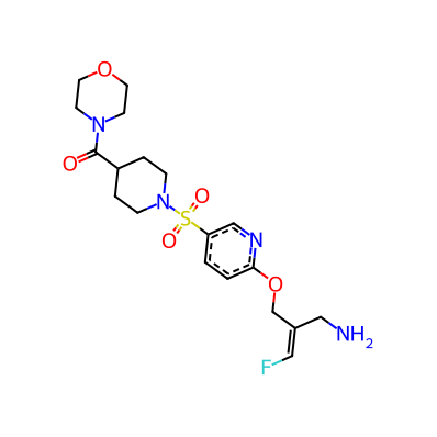 NC/C(=C/F)COc1ccc(S(=O)(=O)N2CCC(C(=O)N3CCOCC3)CC2)cn1